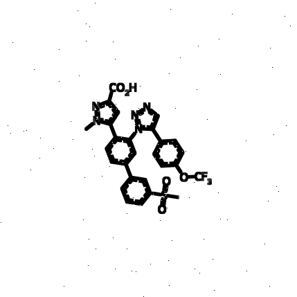 Cn1nc(C(=O)O)cc1-c1ccc(-c2cccc(S(C)(=O)=O)c2)cc1-n1nncc1-c1ccc(OC(F)(F)F)cc1